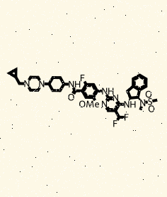 COc1cc(C(=O)NC2CCC(N3CCN(CC4CC4)CC3)CC2)c(F)cc1Nc1ncc(C(F)F)c(N[C@@H]2Cc3ccccc3[C@H]2N(C)S(C)(=O)=O)n1